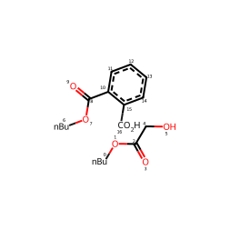 CCCCOC(=O)CO.CCCCOC(=O)c1ccccc1C(=O)O